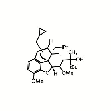 COc1ccc2c3c1O[C@H]1C(OC)[C@@H]([C@](C)(O)C(C)(C)C)C[C@]4(CC(C)C)[C@@H](C2)N(CC2CC2)CC[C@]314